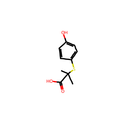 CC(C)(Sc1ccc(O)cc1)C(=O)O